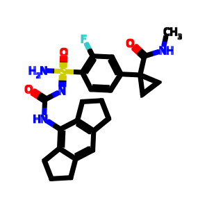 CNC(=O)C1(c2ccc(S(N)(=O)=NC(=O)Nc3c4c(cc5c3CCC5)CCC4)c(F)c2)CC1